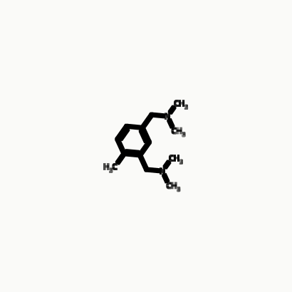 Cc1ccc(CN(C)C)cc1CN(C)C